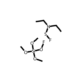 CCN(CC)SF.CO[Si](OC)(OC)OF